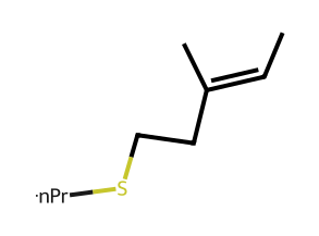 C/C=C(\C)CCS[CH]CC